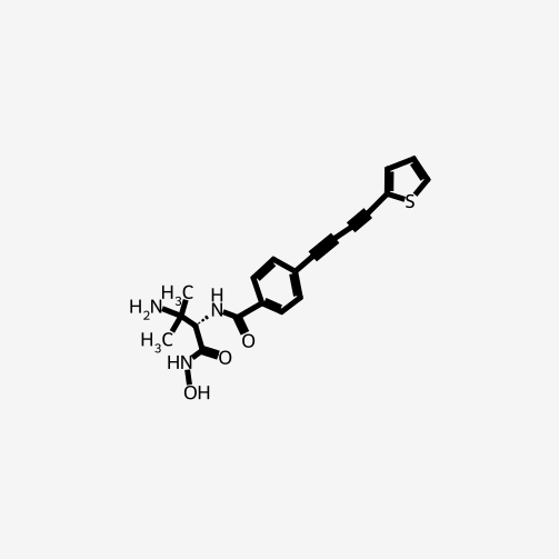 CC(C)(N)[C@H](NC(=O)c1ccc(C#CC#Cc2cccs2)cc1)C(=O)NO